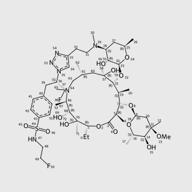 CC[C@H]1OC(=O)[C@H](C)[C@@H](O[C@H]2C[C@@](C)(OC)[C@@H](O)[C@H](C)O2)[C@H](C)[C@@H](O[C@@H]2O[C@H](C)C[C@H](N(C)CCc3cn([C@H](CF)Cc4ccc(S(=O)(=O)NCCF)cc4)nn3)[C@H]2O)[C@](C)(O)C[C@@H](C)CN(C)[C@H](C)[C@@H](O)[C@]1(C)O